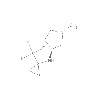 CN1CC[C@H](NC2(C(F)(F)F)CC2)C1